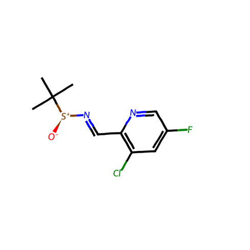 CC(C)(C)[S@+]([O-])N=Cc1ncc(F)cc1Cl